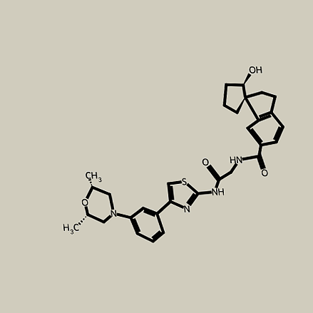 C[C@@H]1CN(c2cccc(-c3csc(NC(=O)CNC(=O)c4ccc5c(c4)[C@@]4(CCC[C@H]4O)CC5)n3)c2)C[C@H](C)O1